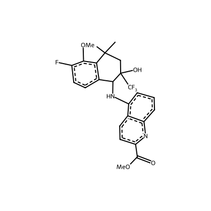 COC(=O)c1ccc2c(NC3c4ccc(F)c(OC)c4C(C)(C)CC3(O)C(F)(F)F)cccc2n1